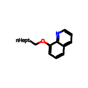 CCCCCCCCOc1cccc2cccnc12